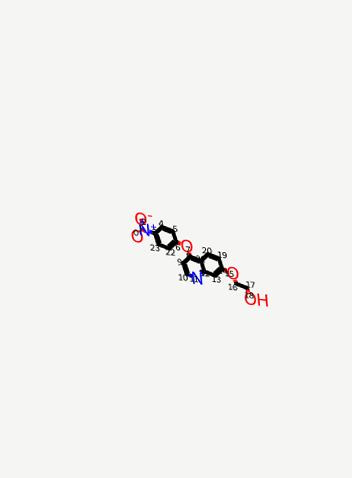 O=[N+]([O-])c1ccc(Oc2ccnc3cc(OCCO)ccc23)cc1